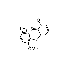 COc1ccc(C)cc1CC1=CC=C[NH+]([O-])C1=S